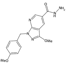 COc1ccc(Cn2nc(OC)c3cc(C(=O)NN)cnc32)cc1